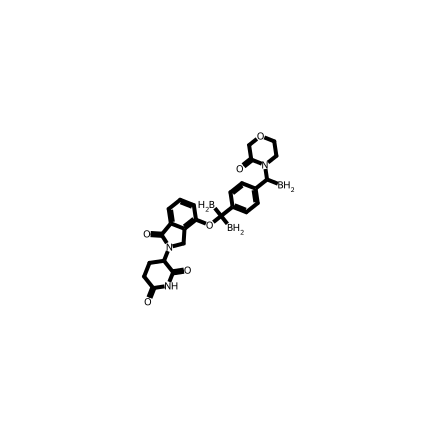 BC(c1ccc(C(B)(B)Oc2cccc3c2CN(C2CCC(=O)NC2=O)C3=O)cc1)N1CCOCC1=O